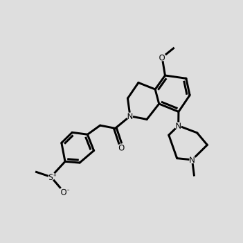 COc1ccc(N2CCN(C)CC2)c2c1CCN(C(=O)Cc1ccc([S+](C)[O-])cc1)C2